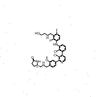 COc1cc(-c2nccc(-c3cccc(Nc4ccc(F)c(CNCCO)c4F)c3Cl)c2Cl)ccc1CNC[C@H]1CCC(=O)N1